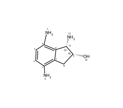 Nc1ccc(N)c2c1C[C@@H](O)[C@H]2N